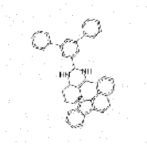 C1=CC2=C(c3cccc4ccc5c6ccccc6oc5c34)NC(c3cc(-c4ccccc4)cc(-c4ccccc4)c3)NC2C=C1